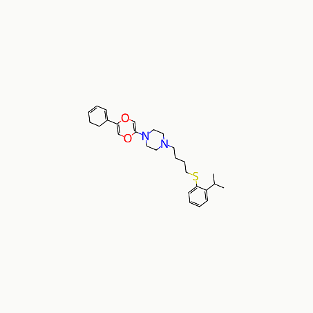 CC(C)c1ccccc1SCCCCN1CCN(C2=COC(C3=CC=CCC3)=CO2)CC1